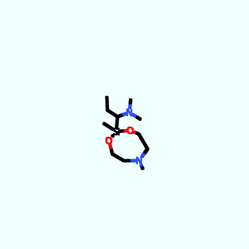 CCC(N(C)C)[Si]1(C)OCCN(C)CCO1